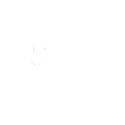 CCOC(=O)CC(c1ccc2ccoc2c1)C(C(=O)OCC)C(=O)OCC